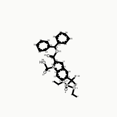 CCOP(=O)(OCC)C(F)(F)c1ccc2c(c1)cc(C(=O)OC(c1ccccc1)c1ccccc1)n2C(=O)O